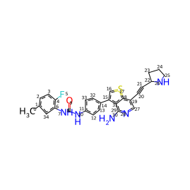 Cc1ccc(F)c(NC(=O)Nc2ccc(-c3csc4c(C#CC5CCCN5)cnc(N)c34)cc2)c1